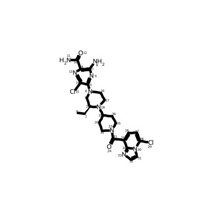 CC[C@H]1CN(c2nc(N)c(C(N)=O)nc2Cl)CCN1C1CCN(C(=O)c2ccc(Cl)n3ccnc23)CC1